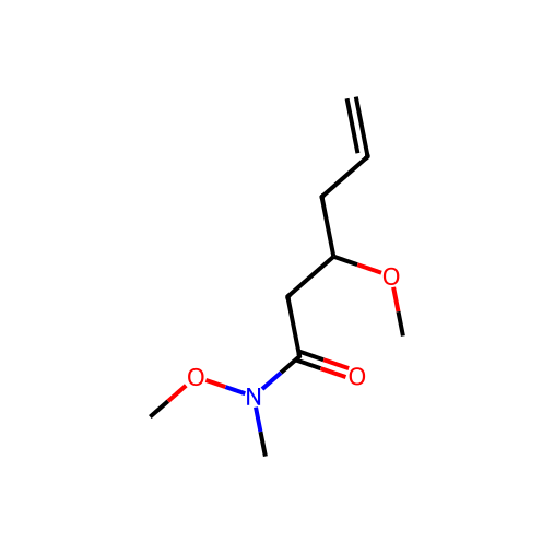 C=CCC(CC(=O)N(C)OC)OC